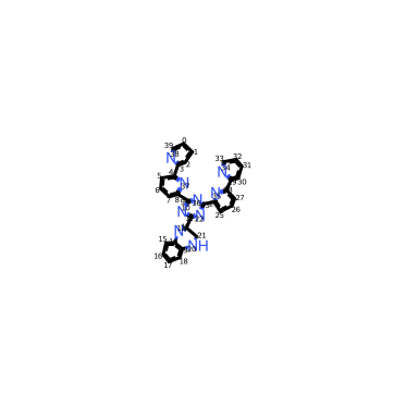 c1ccc(-c2cccc(-c3nc(C4=Nc5ccccc5NC4)nc(-c4cccc(-c5ccccn5)n4)n3)n2)nc1